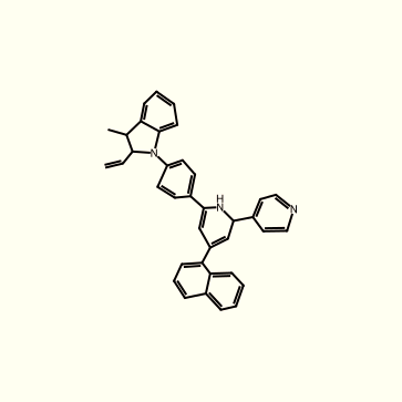 C=CC1C(C)c2ccccc2N1c1ccc(C2=CC(c3cccc4ccccc34)=CC(c3ccncc3)N2)cc1